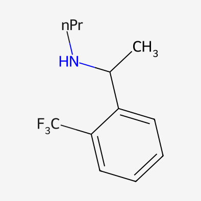 CCCNC(C)c1ccccc1C(F)(F)F